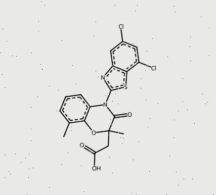 Cc1cccc2c1OC(C)(CC(=O)O)C(=O)N2c1nc2cc(Cl)cc(Cl)c2s1